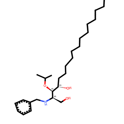 CCCCCCCCCCCCCC[C@H](O)[C@H](OC(C)C)[C@@H](CO)NCc1ccccc1